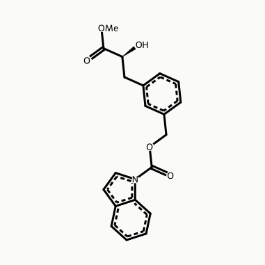 COC(=O)[C@@H](O)Cc1cccc(COC(=O)n2ccc3ccccc32)c1